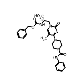 Cc1cn(C[C@H](NC(=O)OCc2ccccc2)C(=O)O)c(=O)nc1N1CCN(C(=O)Nc2ccccc2)CC1